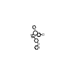 Clc1ccc2c(c1)C[C@@H](N1CCCC1)Cc1nnc(C3CCC(Oc4ccccn4)CC3)n1-2